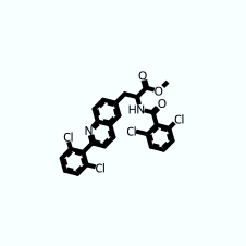 COC(=O)C(Cc1ccc2nc(-c3c(Cl)cccc3Cl)ccc2c1)NC(=O)c1c(Cl)cccc1Cl